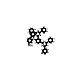 CC(C)(C)c1ccc2c3ccccc3n(-c3ccc(-c4nc(-c5ccccc5)cc(-c5ccccc5)n4)cc3-c3nc(-c4ccccc4)nc(-c4ccccc4)n3)c2c1